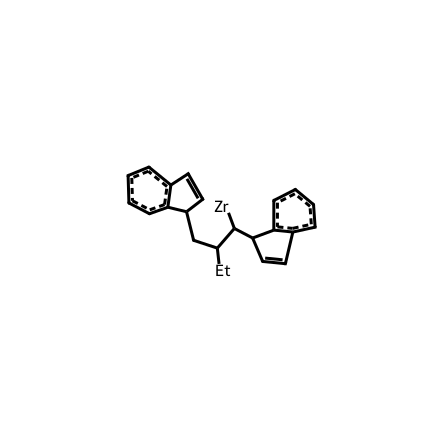 CCC(CC1C=Cc2ccccc21)[CH]([Zr])C1C=Cc2ccccc21